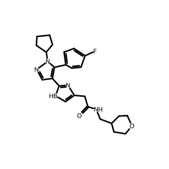 O=C(CC1=CBC(c2cnn(C3CCCC3)c2-c2ccc(F)cc2)=N1)NCC1CCOCC1